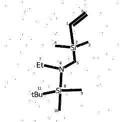 C=C[Si](C)(C)CN(CC)[Si](C)(C)C(C)(C)C